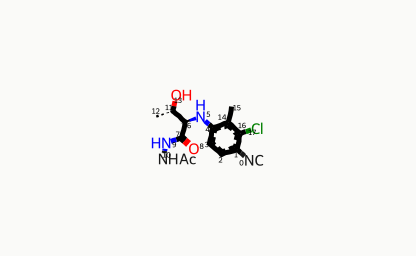 [C-]#[N+]c1ccc(N[C@@H](C(=O)NNC(C)=O)[C@H](C)O)c(C)c1Cl